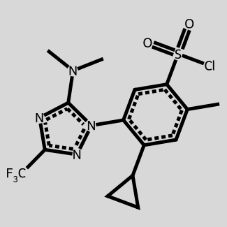 Cc1cc(C2CC2)c(-n2nc(C(F)(F)F)nc2N(C)C)cc1S(=O)(=O)Cl